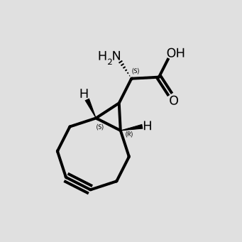 N[C@H](C(=O)O)C1[C@H]2CCC#CCC[C@@H]12